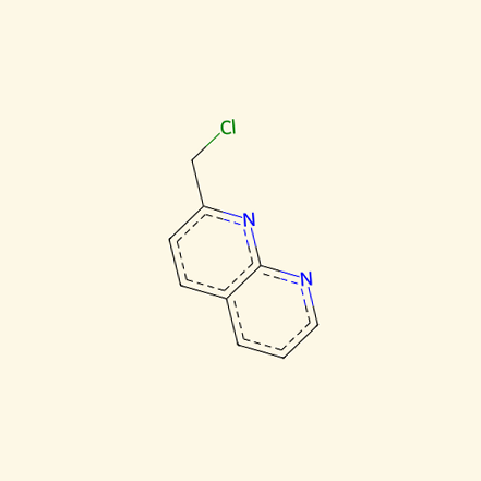 ClCc1ccc2cccnc2n1